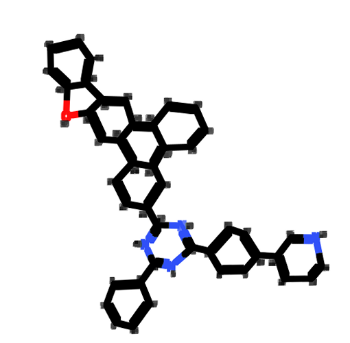 c1ccc(-c2nc(-c3ccc(-c4cccnc4)cc3)nc(-c3ccc4c(c3)c3ccccc3c3cc5c(cc43)oc3ccccc35)n2)cc1